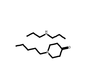 CCCCCN1CCC(=O)CC1.CCCNCCC